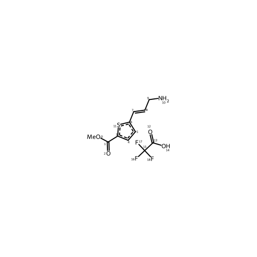 COC(=O)c1ccc(/C=C/CN)s1.O=C(O)C(F)(F)F